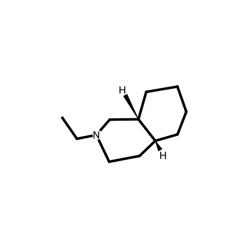 CCN1CC[C@H]2CCCC[C@H]2C1